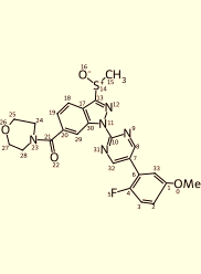 COc1ccc(F)c(-c2cnc(-n3nc([S+](C)[O-])c4ccc(C(=O)N5CCOCC5)cc43)nc2)c1